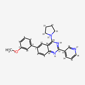 COc1cccc(-c2ccc3nc(-c4cccnc4)nc(N4CCCC4)c3c2)c1